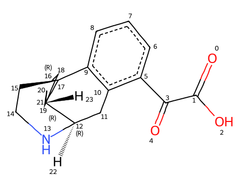 O=C(O)C(=O)c1cccc2c1C[C@H]1NCC[C@@]23CCCC[C@@H]13